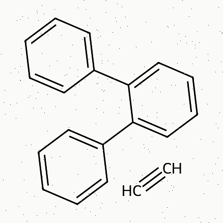 C#C.c1ccc(-c2ccccc2-c2ccccc2)cc1